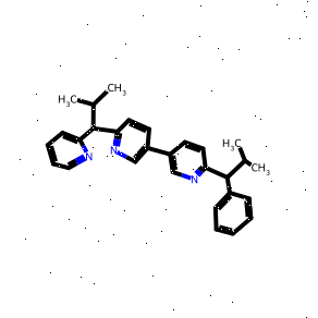 CC(C)C(c1ccccc1)c1ccc(-c2ccc(C(c3ccccn3)C(C)C)nc2)cn1